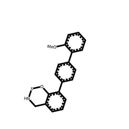 COc1ccccc1-c1ccc(-c2cccc3c2OSNC3)cc1